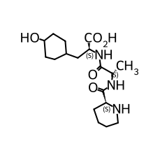 C[C@H](NC(=O)[C@@H]1CCCCN1)C(=O)N[C@@H](CC1CCC(O)CC1)C(=O)O